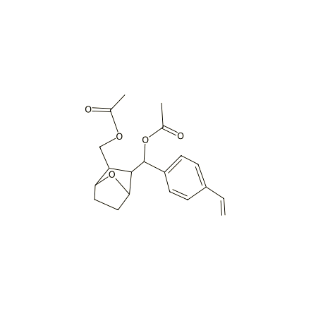 C=Cc1ccc(C(OC(C)=O)C2C3CCC(O3)C2COC(C)=O)cc1